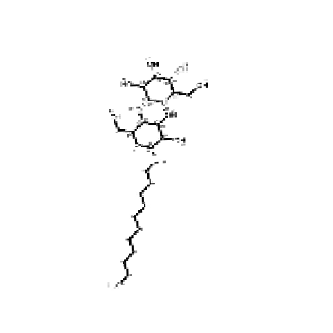 CCCCCCCCCCCO[C@@H]1OC(CO)[C@@H](O[C@H]2OC(CO)[C@@H](O)[C@@H](O)C2O)[C@@H](O)C1O